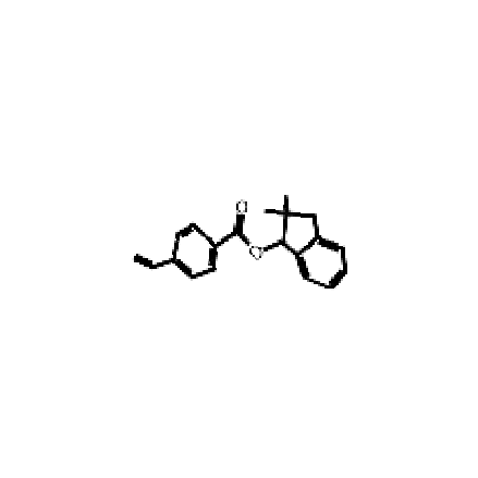 C=Cc1ccc(C(=O)OC2c3ccccc3CC2(C)C)cc1